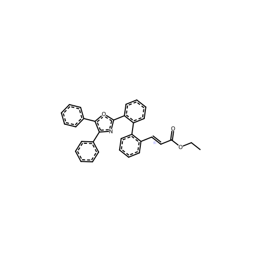 CCOC(=O)/C=C/c1ccccc1-c1ccccc1-c1nc(-c2ccccc2)c(-c2ccccc2)o1